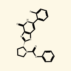 O=C(Oc1ccccc1)N1CCC[C@@H]1c1nc2c(=O)[nH]c(-c3ccccc3F)cc2s1